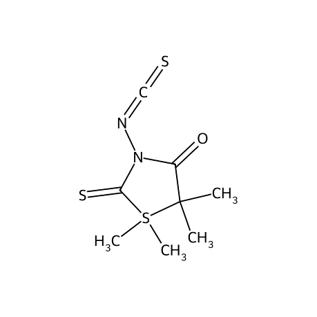 CC1(C)C(=O)N(N=C=S)C(=S)S1(C)C